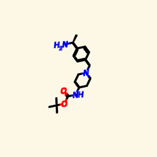 C[C@H](N)c1ccc(CN2CCC(NC(=O)OC(C)(C)C)CC2)cc1